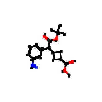 COC(=O)C1CC(C(C(=O)OC(C)(C)C)c2cccc(N)c2)C1